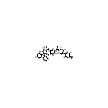 N=C1NC(c2ccccc2)(c2ccccc2)C(=O)N1Cc1cccc(C(=O)N2CCN(c3ccc(F)cc3)CC2)c1